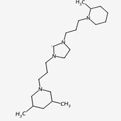 CC1CC(C)CN(CCCN2[C]N(CCCN3CCCCC3C)CC2)C1